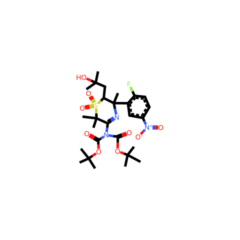 CC(C)(O)CC1C(C)(c2cc([N+](=O)[O-])ccc2F)N=C(N(C(=O)OC(C)(C)C)C(=O)OC(C)(C)C)C(C)(C)S1(=O)=O